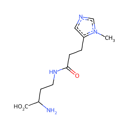 Cn1cncc1CCC(=O)NCCC(N)C(=O)O